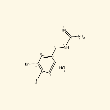 Cl.N=C(N)NCc1ccc(F)c(Br)c1